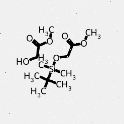 COC(=O)CO.COC(=O)CO[Si](C)(C)C(C)(C)C